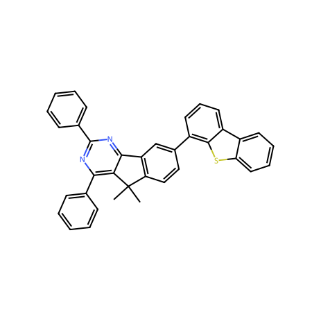 CC1(C)c2ccc(-c3cccc4c3sc3ccccc34)cc2-c2nc(-c3ccccc3)nc(-c3ccccc3)c21